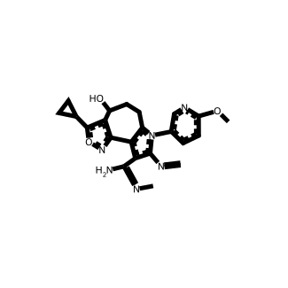 C=Nc1c(/C(N)=N\C)c2c(n1-c1ccc(OC)nc1)CCC(O)c1c-2noc1C1CC1